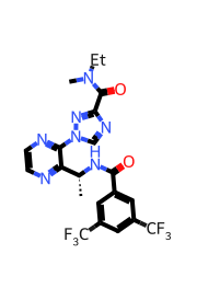 CCN(C)C(=O)c1ncn(-c2nccnc2[C@@H](C)NC(=O)c2cc(C(F)(F)F)cc(C(F)(F)F)c2)n1